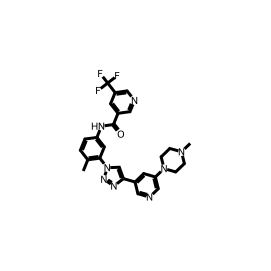 Cc1ccc(NC(=O)c2cncc(C(F)(F)F)c2)cc1-n1cc(-c2cncc(N3CCN(C)CC3)c2)nn1